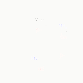 COc1cc(C(C)(N)O)ccc1OCc1ccccc1.OC(CNCc1ccccc1)c1cccc(OCc2ccccc2)c1